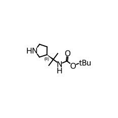 CC(C)(C)OC(=O)NC(C)(C)[C@@H]1CCNC1